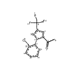 CC(=O)c1cc(C(F)(F)F)nn1-c1ncccc1Cl